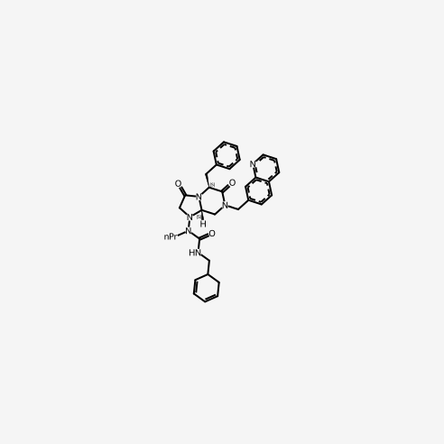 CCCN(C(=O)NCC1C=CC=CC1)N1CC(=O)N2[C@@H](Cc3ccccc3)C(=O)N(Cc3ccc4cccnc4c3)C[C@@H]21